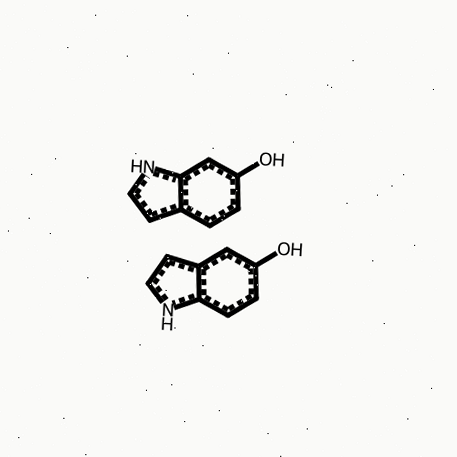 Oc1ccc2[nH]ccc2c1.Oc1ccc2cc[nH]c2c1